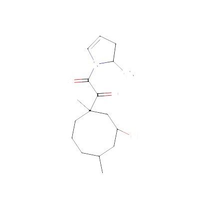 CC1CCCC(C)(C(=O)C(=O)N2C=CCC2C#N)C[C@@](C)(O)C1